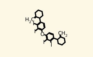 C=C1CCCCC1c1ccc(Oc2ccc(C3CCCCC3=C)c(I)c2I)c(I)c1I